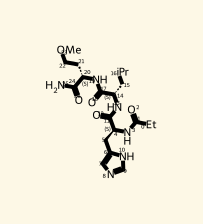 CCC(=O)N[C@@H](Cc1cnc[nH]1)C(=O)N[C@@H](CC(C)C)C(=O)N[C@@H](CCOC)C(N)=O